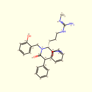 NC(=O)[C@@H](CCCNC(N)=N[N+](=O)[O-])N(Cc1ccccc1O)C(=O)C(c1ccccc1)c1ccccc1